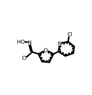 ON=C(Cl)c1ccc(-c2cccc(Cl)n2)o1